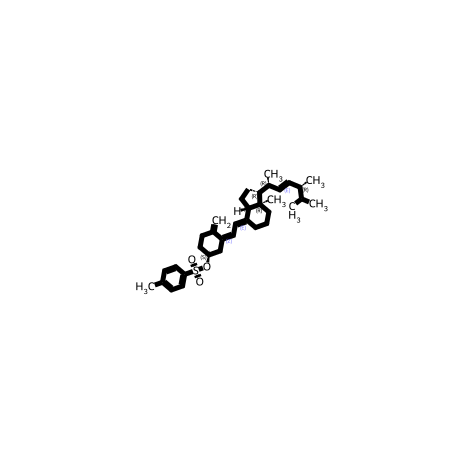 C=C1CC[C@H](OS(=O)(=O)c2ccc(C)cc2)C/C1=C/C=C1\CCC[C@]2(C)[C@@H]([C@H](C)/C=C/[C@H](C)C(C)C)CC[C@@H]12